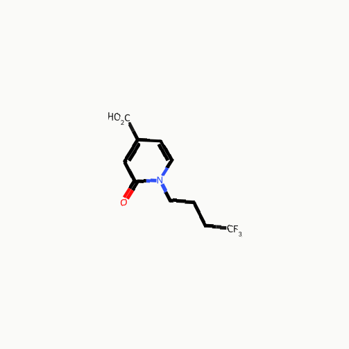 O=C(O)c1ccn(CCCC(F)(F)F)c(=O)c1